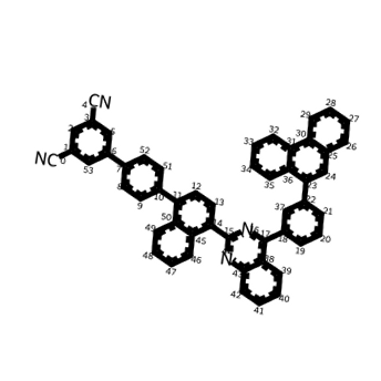 N#Cc1cc(C#N)cc(-c2ccc(-c3ccc(-c4nc(-c5cccc(-c6cc7ccccc7c7ccccc67)c5)c5ccccc5n4)c4ccccc34)cc2)c1